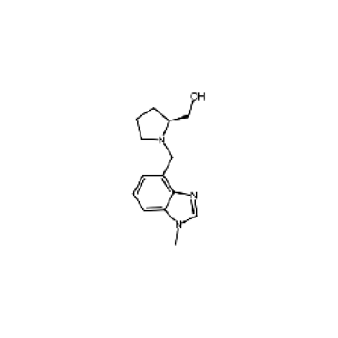 Cn1cnc2c(CN3CCC[C@H]3CO)cccc21